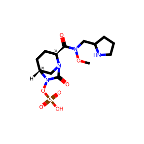 CON(CC1CCCN1)C(=O)[C@@H]1CC[C@@H]2CN1C(=O)N2OS(=O)(=O)O